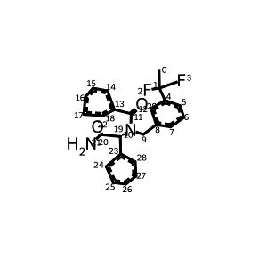 CC(F)(F)c1cccc(CN(C(=O)c2ccccc2)[C@@H](C(N)=O)c2ccccc2)c1